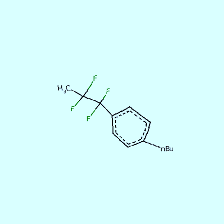 [CH2]CCCc1ccc(C(F)(F)C(C)(F)F)cc1